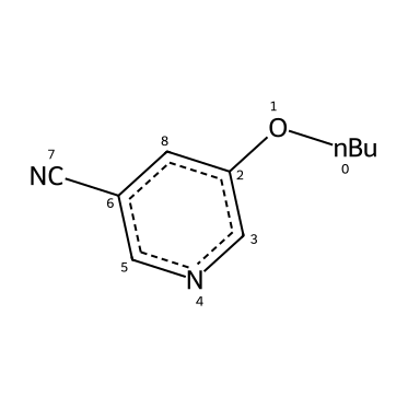 CCCCOc1cncc(C#N)c1